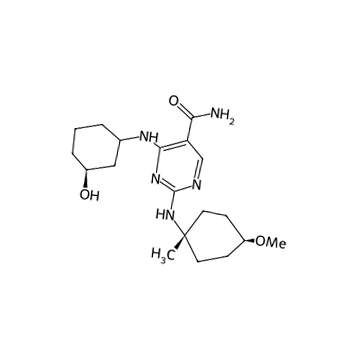 CO[C@H]1CC[C@](C)(Nc2ncc(C(N)=O)c(NC3CCC[C@H](O)C3)n2)CC1